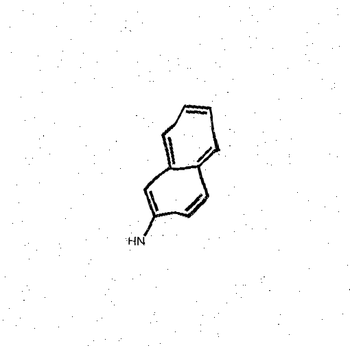 [NH]c1ccc2ccccc2c1